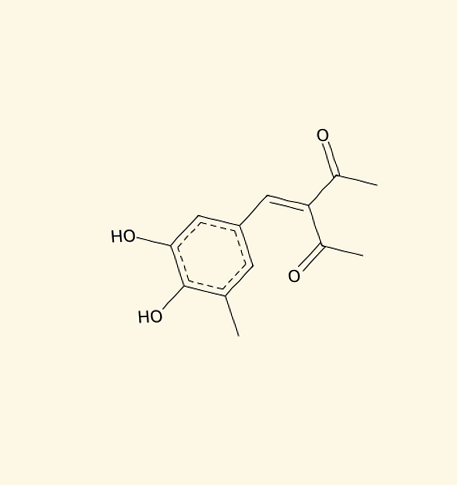 CC(=O)C(=Cc1cc(C)c(O)c(O)c1)C(C)=O